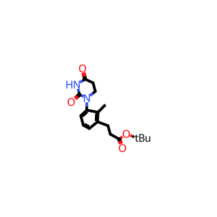 Cc1c(CCC(=O)OC(C)(C)C)cccc1N1CCC(=O)NC1=O